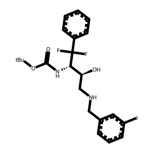 CC(C)(C)OC(=O)N[C@@H]([C@@H](O)CNCc1cccc(I)c1)C(F)(F)c1ccccc1